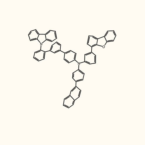 c1cc(-c2ccc(N(c3ccc(-c4ccc5ccccc5c4)cc3)c3cccc(-c4cccc5c4oc4ccccc45)c3)cc2)cc(-c2ccccc2-n2c3ccccc3c3ccccc32)c1